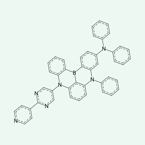 c1ccc(N(c2ccccc2)c2ccc3c(c2)N(c2ccccc2)c2cccc4c2B3c2ccccc2N4c2cnc(-c3ccncc3)nc2)cc1